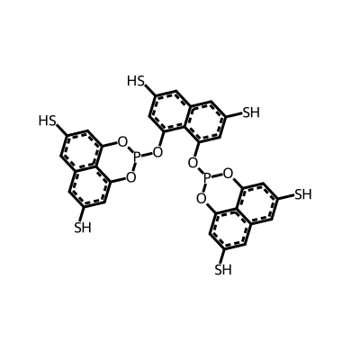 Sc1cc(OP2Oc3cc(S)cc4cc(S)cc(c34)O2)c2c(OP3Oc4cc(S)cc5cc(S)cc(c45)O3)cc(S)cc2c1